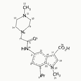 CC(C)c1cc(NC(=O)CN2CCN(C)CC2)cc2c(C(=O)O)cn(C)c12